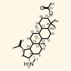 C=C(C)[C@@H]1CC[C@]2(CN)CC[C@]3(C)C(CCC4[C@@]5(C)CC[C@H](OC(C)=O)C(C)(C)C5CC[C@]43C)C12